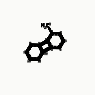 Cc1cccc2c1=c1ccccc1=2